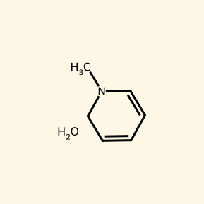 CN1C=CC=CC1.O